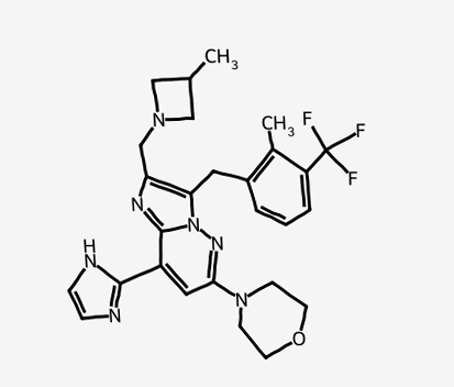 Cc1c(Cc2c(CN3CC(C)C3)nc3c(-c4ncc[nH]4)cc(N4CCOCC4)nn23)cccc1C(F)(F)F